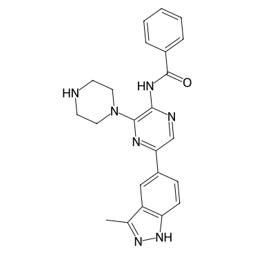 Cc1n[nH]c2ccc(-c3cnc(NC(=O)c4ccccc4)c(N4CCNCC4)n3)cc12